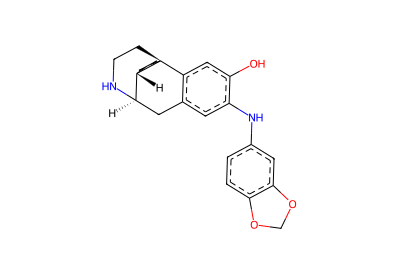 Oc1cc2c(cc1Nc1ccc3c(c1)OCO3)C[C@H]1NCC[C@@]23CCCC[C@@H]13